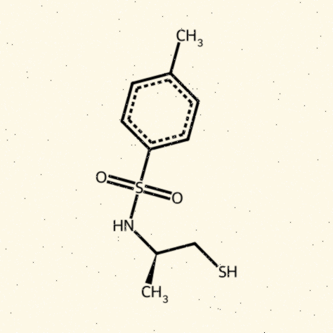 Cc1ccc(S(=O)(=O)N[C@H](C)CS)cc1